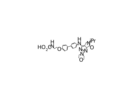 CC(C)N1Cc2c(Nc3ccc(-c4ccc(OCCNC(=O)O)cc4)cc3)nc(N3CCOCC3)nc2C1=O